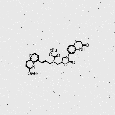 COc1ccc2nccc(C=CCN(CC3CN(c4ccc5c(c4)NC(=O)CS5)C(=O)O3)C(=O)OC(C)(C)C)c2n1